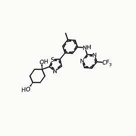 Cc1cc(Nc2nccc(C(F)(F)F)n2)cc(-c2cnc([C@]3(O)CC[C@@H](O)CC3)s2)c1